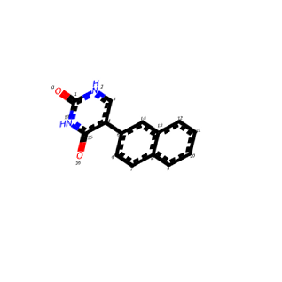 O=c1[nH]cc(-c2ccc3ccccc3c2)c(=O)[nH]1